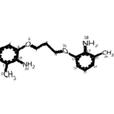 Cc1cccc(OCCCOc2cccc(C)c2N)c1N